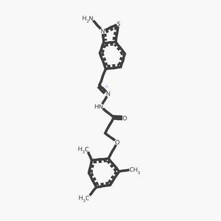 Cc1cc(C)c(OCC(=O)N/N=C/c2ccc3sn(N)c3c2)c(C)c1